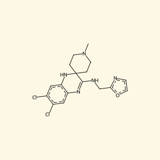 CN1CCC2(CC1)Nc1cc(Cl)c(Cl)cc1N=C2NCc1ncco1